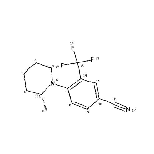 C[C@@H]1CCCCN1c1ccc(C#N)cc1C(F)(F)F